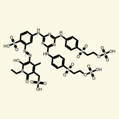 CCn1c(O)c(/N=N/c2cc(Nc3nc(Nc4ccc(S(=O)(=O)CCOS(=O)(=O)O)cc4)nc(Nc4ccc(S(=O)(=O)CCOS(=O)(=O)O)cc4)n3)ccc2S(=O)(=O)O)c(C)c(CS(=O)(=O)O)c1=O